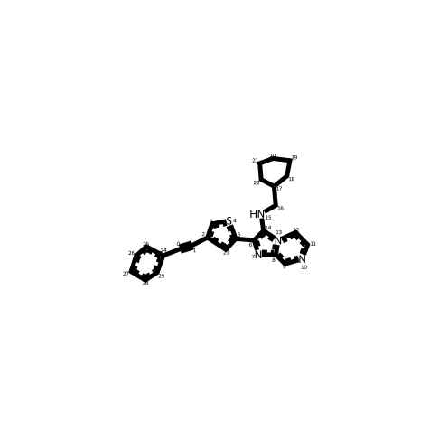 C(#Cc1csc(-c2nc3cnccn3c2NCC2CCCCC2)c1)c1ccccc1